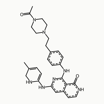 CC(=O)N1CCN(CCc2ccc(Nc3nc(NC4=CC=C(C)CN4)cc4cc[nH]c(=O)c34)cc2)CC1